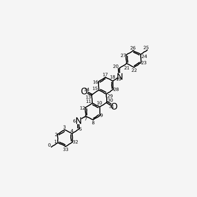 Cc1ccc(/C=N/c2ccc3c(c2)C(=O)c2ccc(/N=C/c4ccc(C)cc4)cc2C3=O)cc1